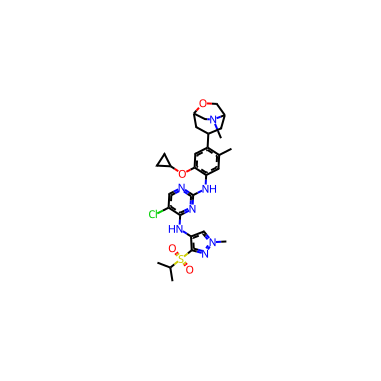 Cc1cc(Nc2ncc(Cl)c(Nc3cn(C)nc3S(=O)(=O)C(C)C)n2)c(OC2CC2)cc1C1CC2CN(C)C(CO2)C1